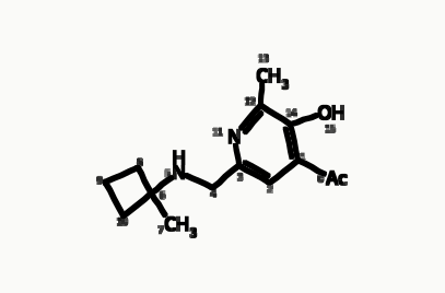 CC(=O)c1cc(CNC2(C)CCC2)nc(C)c1O